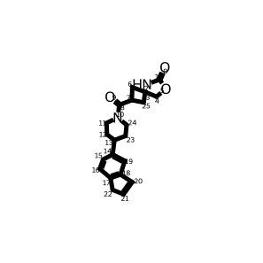 O=C1NC2(CO1)CC(C(=O)N1CCC(c3ccc4c(c3)C=CC4)CC1)C2